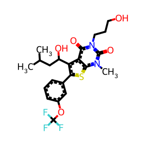 CC(C)CC(O)c1c(-c2cccc(OC(F)(F)F)c2)sc2c1c(=O)n(CCCO)c(=O)n2C